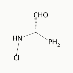 O=C[C@H](P)NCl